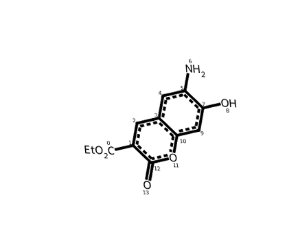 CCOC(=O)c1cc2cc(N)c(O)cc2oc1=O